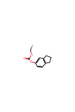 O=C(OCI)Oc1ccc2c(c1)CCC2